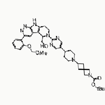 COCOc1ccccc1-c1cc2c3c([nH]c2nn1)CCN(c1ncc(C2CCN(C4CC5(C4)CN(C(=O)OC(C)(C)C)C5)CC2)cn1)[C@H]3CO